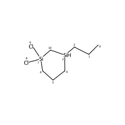 CCC[SiH]1CCC[Si](Cl)(Cl)C1